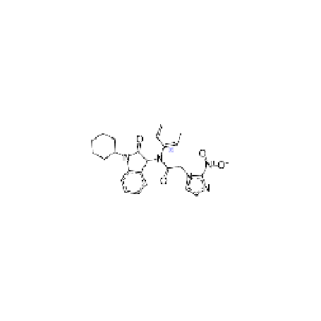 C=C/C(=C\C)N(C(=O)Cn1ccnc1[N+](=O)[O-])C1C(=O)N(C2CCCCC2)c2ccccc21